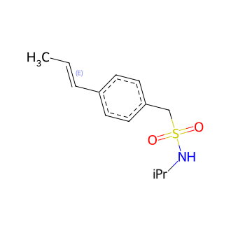 C/C=C/c1ccc(CS(=O)(=O)NC(C)C)cc1